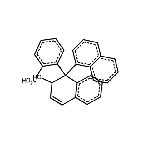 O=C(O)c1ccccc1C1(c2cccc3ccccc23)c2ccccc2C=CC1O